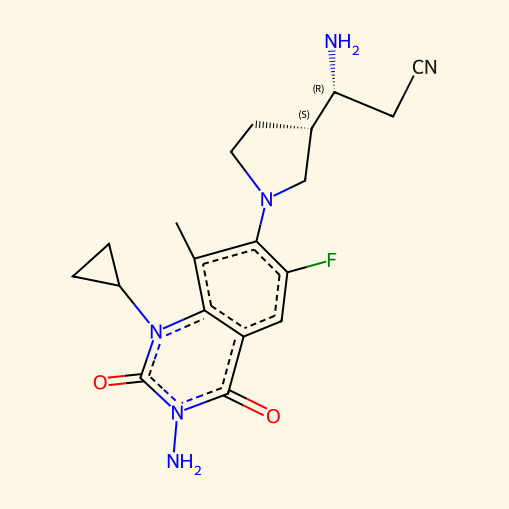 Cc1c(N2CC[C@H]([C@H](N)CC#N)C2)c(F)cc2c(=O)n(N)c(=O)n(C3CC3)c12